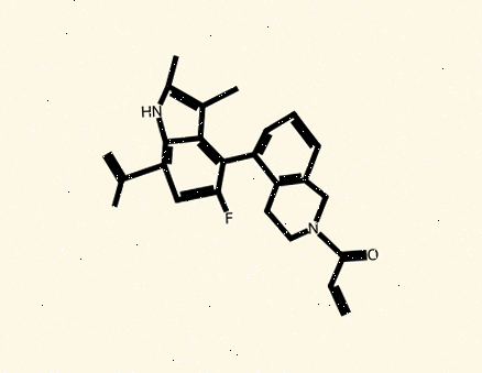 C=CC(=O)N1CCc2c(cccc2-c2c(F)cc(C(=C)C)c3[nH]c(C)c(C)c23)C1